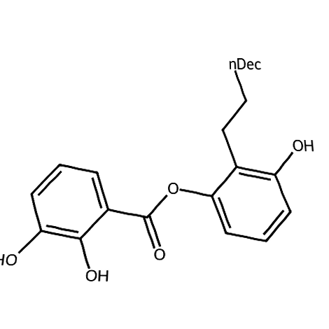 CCCCCCCCCCCCc1c(O)cccc1OC(=O)c1cccc(O)c1O